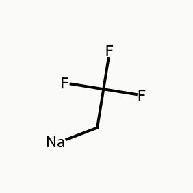 FC(F)(F)[CH2][Na]